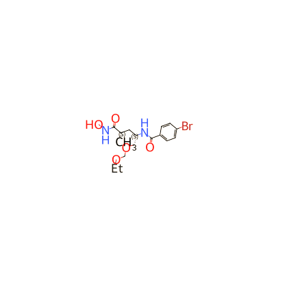 CCOCOC[C@H](C[C@H](C)C(=O)NO)NC(=O)c1ccc(Br)cc1